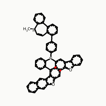 C[C@@H]1C=Cc2c(-c3ccc(N(c4ccc5oc6ccccc6c5c4)c4ccccc4-c4cccc5oc6cc7ccccc7cc6c45)cc3)cccc2-c2ccccc21